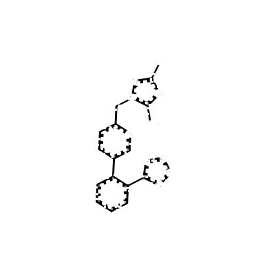 CCCCc1nc(C(C)C)nn1Cc1ccc(-c2ccccc2-c2nnn[nH]2)cn1